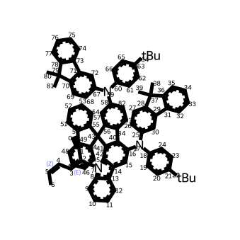 C#C/C(=C\C=C/C)n1c2ccccc2c2cc(N(c3ccc(C(C)(C)C)cc3)c3ccc4c(c3)-c3ccccc3C4(C)C)c3c(c21)C1(c2ccccc2-c2ccccc21)c1cc(N(c2ccc(C(C)(C)C)cc2)c2ccc4c(c2)-c2ccccc2C4(C)C)ccc1-3